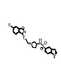 Cn1ccc2cc(S(=O)(=O)NC3CCN(CCCc4noc5cc(F)ccc45)C3)ccc21